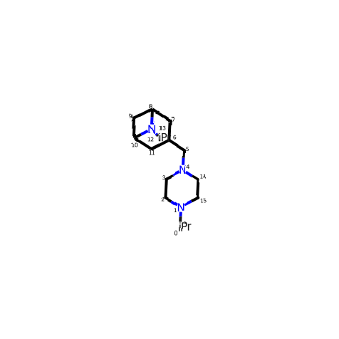 CC(C)N1CCN(CC2CC3CC(C2)N3C(C)C)CC1